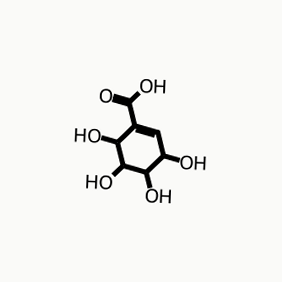 O=C(O)C1=CC(O)C(O)C(O)C1O